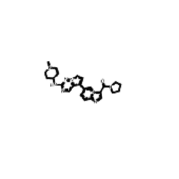 CN1CCC(Nc2ncc3c(-c4ccc5ncc(C(=O)N6CCCC6)n5c4)ccn3n2)CC1